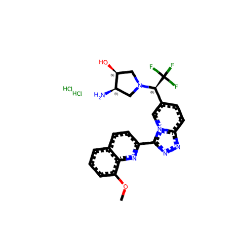 COc1cccc2ccc(-c3nnc4ccc([C@@H](N5C[C@@H](N)[C@@H](O)C5)C(F)(F)F)cn34)nc12.Cl.Cl